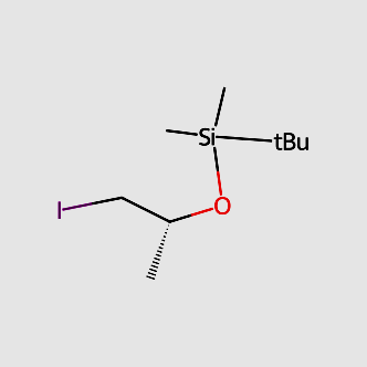 C[C@H](CI)O[Si](C)(C)C(C)(C)C